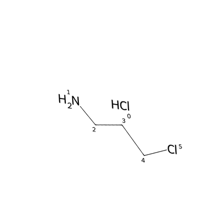 Cl.NCCCCl